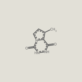 Cc1ccn2c(=O)[nH][nH]c(=O)c12